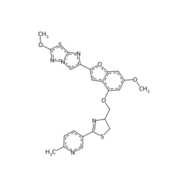 COc1cc(OCC2CSC(c3ccc(C)nc3)=N2)c2cc(-c3cn4nc(OC)sc4n3)oc2c1